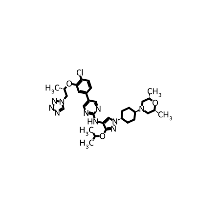 CC(C)Oc1nn([C@H]2CC[C@H](N3C[C@@H](C)O[C@@H](C)C3)CC2)cc1Nc1ncc(-c2ccc(Cl)c(O[C@@H](C)Cn3cnnn3)c2)cn1